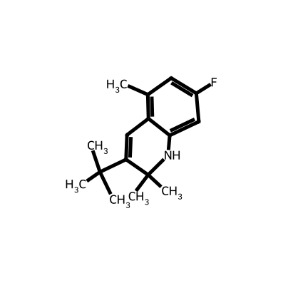 Cc1cc(F)cc2c1C=C(C(C)(C)C)C(C)(C)N2